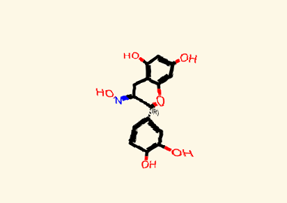 ON=C1Cc2c(O)cc(O)cc2O[C@@H]1c1ccc(O)c(O)c1